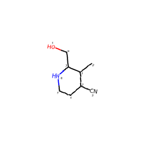 CC1C(C#N)CCNC1CO